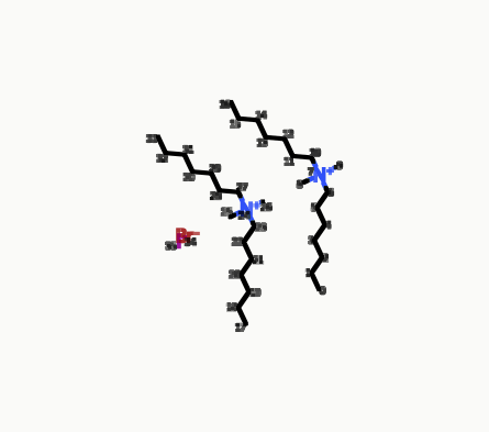 CCCCCCC[N+](C)(C)CCCCCCC.CCCCCCC[N+](C)(C)CCCCCCC.[Br-].[I-]